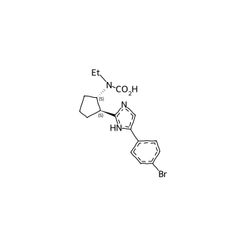 CCN(C(=O)O)[C@H]1CCC[C@@H]1c1ncc(-c2ccc(Br)cc2)[nH]1